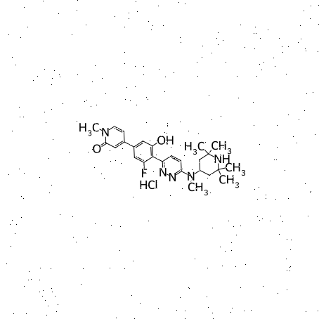 CN(c1ccc(-c2c(O)cc(-c3ccn(C)c(=O)c3)cc2F)nn1)C1CC(C)(C)NC(C)(C)C1.Cl